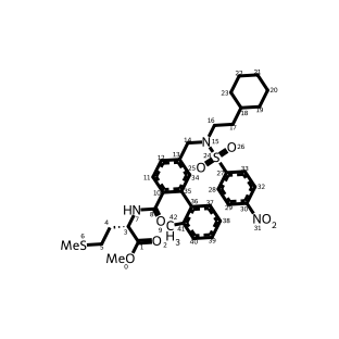 COC(=O)[C@H](CCSC)NC(=O)c1ccc(CN(CCC2CCCCC2)S(=O)(=O)c2ccc([N+](=O)[O-])cc2)cc1-c1ccccc1C